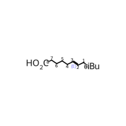 CC[C@H](C)C/C=C/CCCCC(=O)O